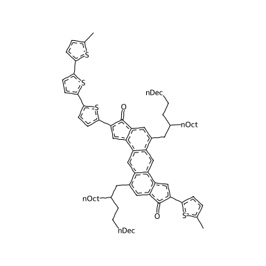 CCCCCCCCCCCCC(CCCCCCCC)Cc1cc2c(=O)c(-c3ccc(C)s3)cc2c2cc3c(CC(CCCCCCCC)CCCCCCCCCCCC)cc4c(=O)c(-c5ccc(-c6ccc(-c7ccc(C)s7)s6)s5)cc4c3cc12